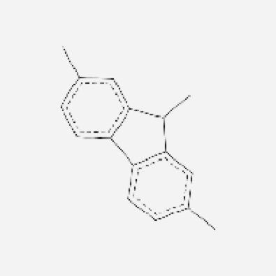 Cc1ccc2c(c1)C(C)c1cc(C)ccc1-2